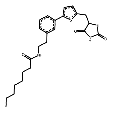 CCCCCCCC(=O)NCCc1cccc(-c2ccc(CC3SC(=O)NC3=O)s2)c1